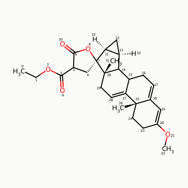 CCOC(=O)C1C[C@]2(OC1=O)[C@H]1C[C@H]1C1C3CC=C4C=C(OC)CC[C@]4(C)C3=CC[C@@]12C